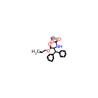 C=CCOC(=O)C(NC(=O)OC(C)(C)C)C(c1ccccc1)c1ccccc1